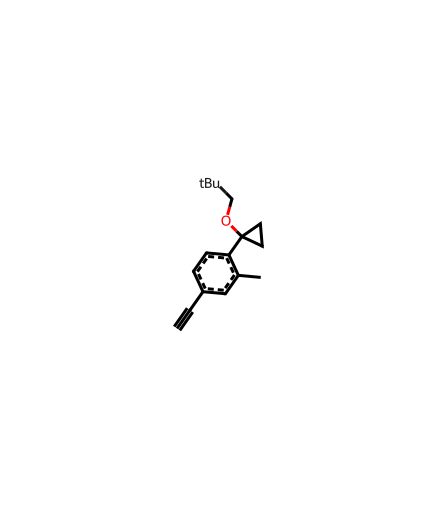 C#Cc1ccc(C2(OCC(C)(C)C)CC2)c(C)c1